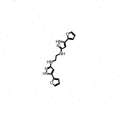 c1coc(-c2cc(NCCNc3cc(-c4ccco4)[nH]n3)n[nH]2)c1